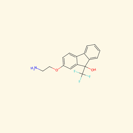 NCCOc1ccc2c(c1)C(O)(C(F)(F)F)c1ccccc1-2